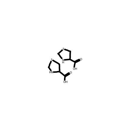 O=C(O)C1CSCN1.O=C(O)C1CSCN1